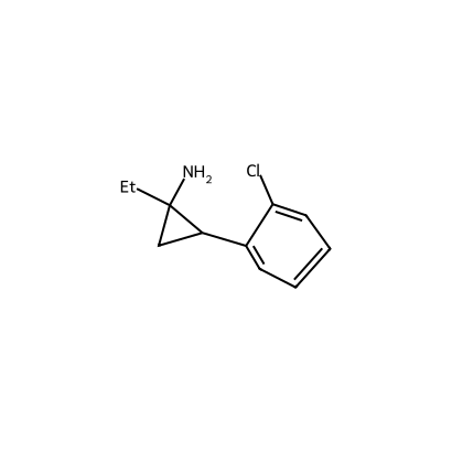 CCC1(N)CC1c1ccccc1Cl